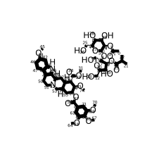 CC(=O)O[C@H]1[C@@H](O[C@]2(CO)O[C@H](CO)[C@@H](O)[C@@H]2OC(=O)C(C)C)O[C@H](CO)[C@@H](O)[C@@H]1O.COC(=O)[C@H]1[C@H]2C[C@@H]3c4[nH]c5cc(OC)ccc5c4CCN3C[C@H]2C[C@@H](OC(=O)c2cc(OC)c(OC)c(OC)c2)[C@@H]1OC